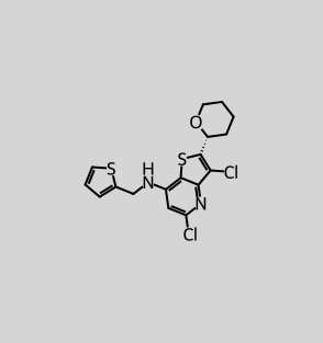 Clc1cc(NCc2cccs2)c2sc([C@H]3CCCCO3)c(Cl)c2n1